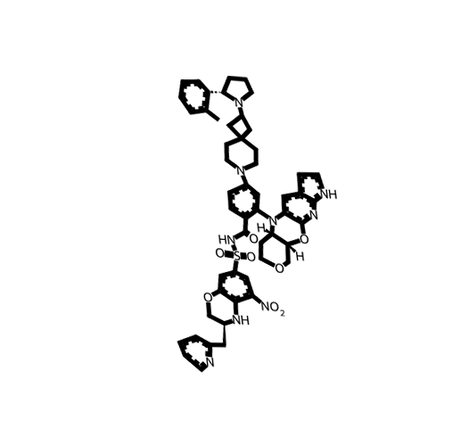 Cc1ccccc1[C@@H]1CCCN1C1CC2(CCN(c3ccc(C(=O)NS(=O)(=O)c4cc5c(c([N+](=O)[O-])c4)N[C@@H](Cc4ccccn4)CO5)c(N4c5cc6cc[nH]c6nc5O[C@@H]5COCC[C@@H]54)c3)CC2)C1